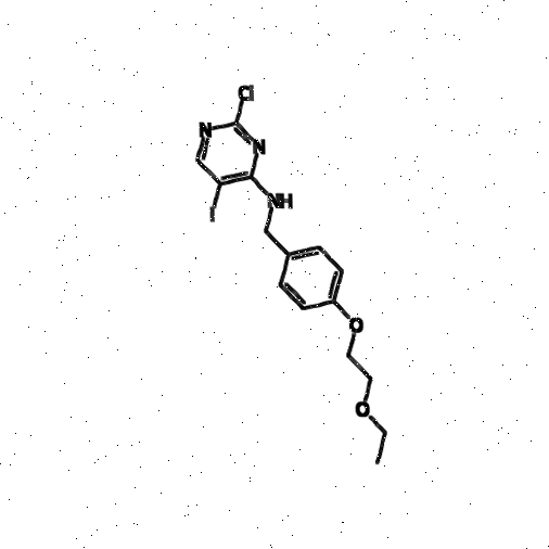 CCOCCOc1ccc(CNc2nc(Cl)ncc2I)cc1